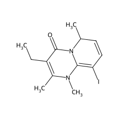 CCC1=C(C)N(C)C2=C(I)C=CC(C)N2C1=O